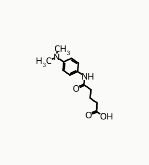 CN(C)c1ccc(NC(=O)CCCC(=O)O)cc1